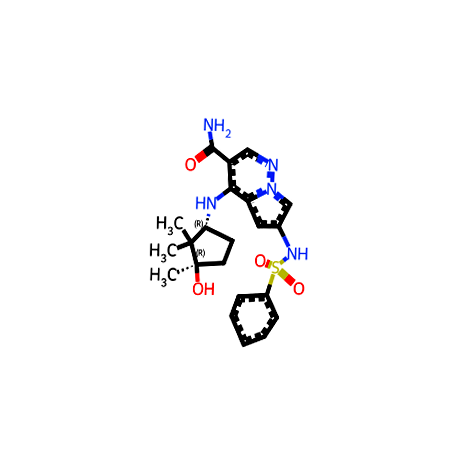 CC1(C)[C@H](Nc2c(C(N)=O)cnn3cc(NS(=O)(=O)c4ccccc4)cc23)CC[C@@]1(C)O